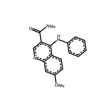 CNC(=O)c1cnc2cc(OC)ccc2c1Nc1ccccc1